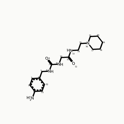 Nc1ccc(CNC(=O)NCC(=O)NCCN2CCCCC2)cc1